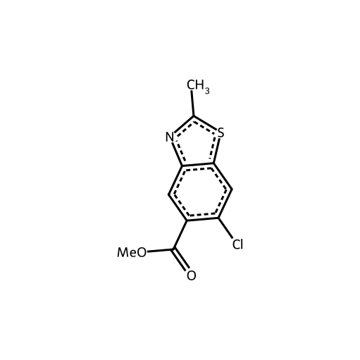 COC(=O)c1cc2nc(C)sc2cc1Cl